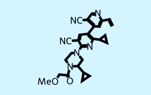 C=Cc1cc(-c2cc(C#N)c(N3CCN(C(=O)COC)C(C4CC4)C3)nc2C2CC2)c(C#N)cn1